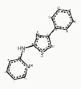 [c]1ccc(Nc2nc(-c3ccccc3)cs2)nc1